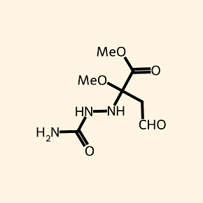 COC(=O)C(CC=O)(NNC(N)=O)OC